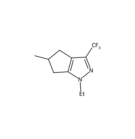 CCn1nc(C(F)(F)F)c2c1CC(C)C2